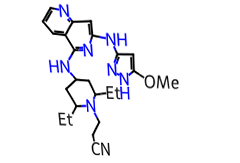 CCC1CC(Nc2nc(Nc3cc(OC)[nH]n3)cc3ncccc23)CC(CC)N1CCC#N